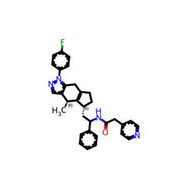 C[C@@H]1C2=C(CC[C@@H]2CC(NC(=O)Cc2ccncc2)c2ccccc2)Cc2c1cnn2-c1ccc(F)cc1